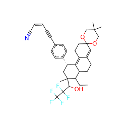 CCC1C2CCC3=CC4(CCC3=C2[C@@H](c2ccc(C#C/C=C\C#N)cc2)CC1(C)C(O)C(F)(F)C(F)(F)F)OCC(C)(C)CO4